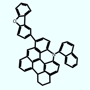 c1ccc(N(c2ccc(-c3ccc4oc5ccccc5c4c3)cc2)c2cccc3ccccc23)c(-c2cccc3cccc(C4CCCCC4)c23)c1